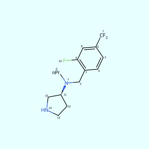 CCCN(Cc1ccc(C(F)(F)F)cc1F)[C@H]1CCNC1